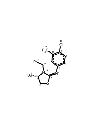 CCC(C)[C@H]1CSC(=Nc2ccc(Cl)c(C(F)(F)F)c2)N1CC(C)C